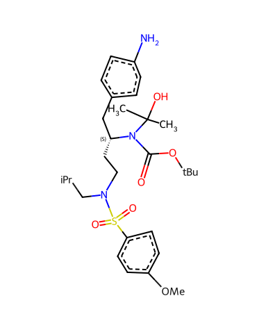 COc1ccc(S(=O)(=O)N(CC[C@H](Cc2ccc(N)cc2)N(C(=O)OC(C)(C)C)C(C)(C)O)CC(C)C)cc1